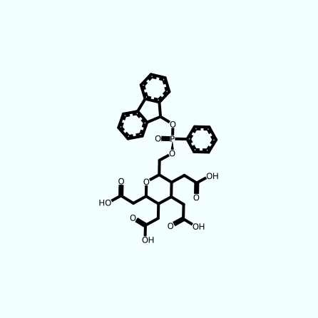 O=C(O)CC1OC(CO[P@@](=O)(OC2c3ccccc3-c3ccccc32)c2ccccc2)C(CC(=O)O)C(CC(=O)O)C1CC(=O)O